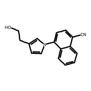 N#Cc1ccc(-n2ccc(CCO)c2)c2ccccc12